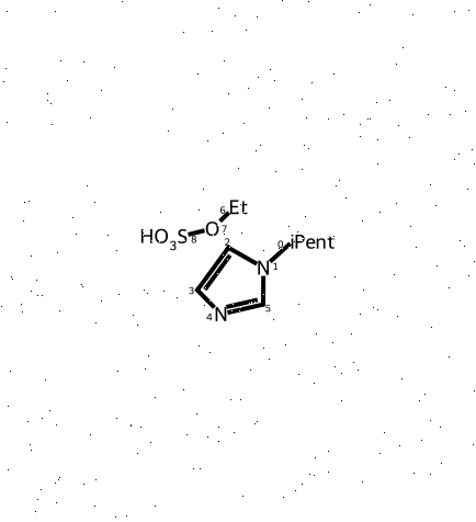 CCCC(C)n1ccnc1.CCOS(=O)(=O)O